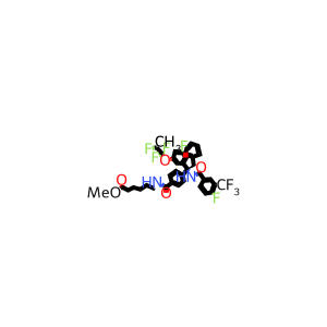 COC(=O)CCCCCNC(=O)c1ccc([C@@](Cc2ccccc2)(NC(=O)c2ccc(F)c(C(F)(F)F)c2)c2cc(F)cc(OC(F)(F)C(C)F)c2)cc1